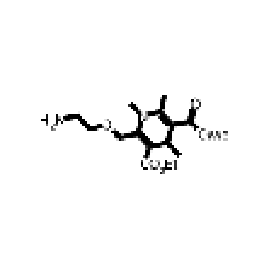 CCOC(=O)C1=C(COCCN)N(C)C(C)=C(C(=O)OC)C1C